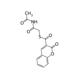 CC(=O)NC(=O)CSC(=O)c1cc2ccccc2oc1=O